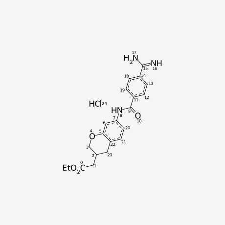 CCOC(=O)CC1COc2cc(NC(=O)c3ccc(C(=N)N)cc3)ccc2C1.Cl